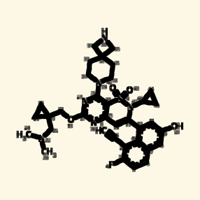 C#Cc1c(F)ccc2cc(O)cc(C3=Cc4nc(OCC5(CN(C)C)CC5)nc(N5CCC6(CC5)CNC6)c4S(=O)(=O)N3C3CC3)c12